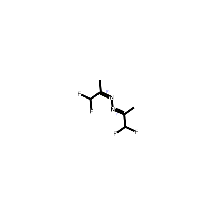 C/C(=N/N=C(\C)C(F)F)C(F)F